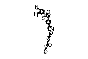 COCCOC(=O)CCOCCOc1ccc(-c2ccc(N3C(=S)N(c4ccc(C#N)c(C(F)(F)F)c4)C(=O)C3(C)C)cc2)cn1